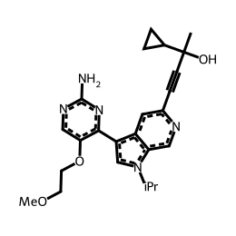 COCCOc1cnc(N)nc1-c1cn(C(C)C)c2cnc(C#CC(C)(O)C3CC3)cc12